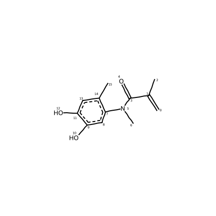 C=C(C)C(=O)N(C)c1cc(O)c(O)cc1C